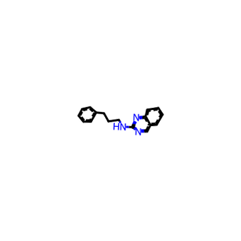 c1ccc(CCCNc2ncc3ccccc3n2)cc1